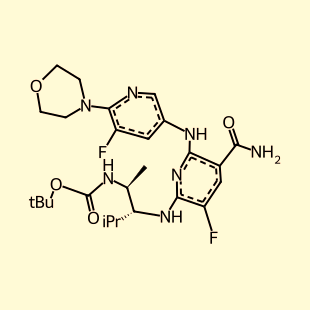 CC(C)[C@@H](Nc1nc(Nc2cnc(N3CCOCC3)c(F)c2)c(C(N)=O)cc1F)[C@H](C)NC(=O)OC(C)(C)C